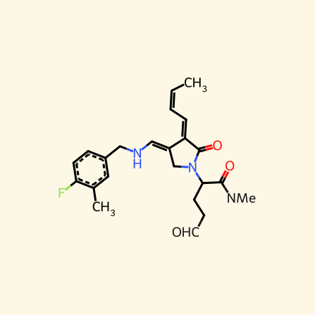 C\C=C/C=C1/C(=O)N(C(CCC=O)C(=O)NC)C/C1=C\NCc1ccc(F)c(C)c1